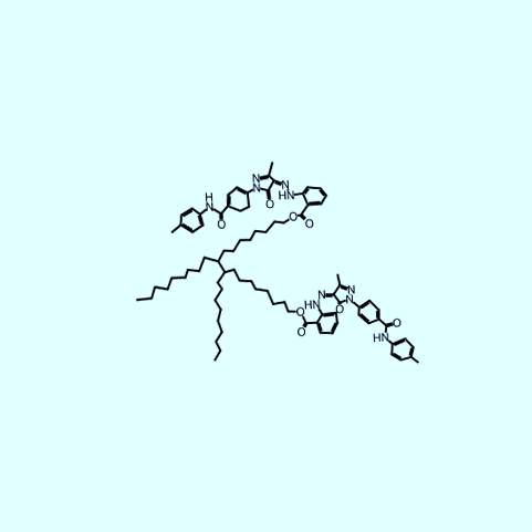 CCCCCCCCCC(CCCCCCCCOC(=O)c1ccccc1N/N=C1\C(=O)N(C2=CC=C(C(=O)Nc3ccc(C)cc3)CC2)N=C1C)C(CCCCCCCCC)CCCCCCCCOC(=O)c1ccccc1N/N=C1\C(=O)N(c2ccc(C(=O)Nc3ccc(C)cc3)cc2)N=C1C